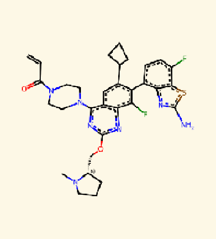 C=CC(=O)N1CCN(c2nc(OC[C@@H]3CCCN3C)nc3c(F)c(-c4ccc(F)c5sc(N)nc45)c(C4CCC4)cc23)CC1